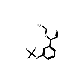 CCOC(C=O)c1cccc(OC(F)(F)F)c1